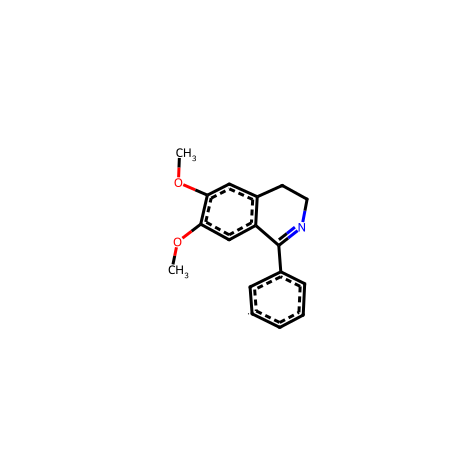 COc1cc2c(cc1OC)C(c1c[c]ccc1)=NCC2